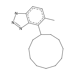 Cc1ccc2c(c1C1CCCCCCCCCC1)N=N[N]2